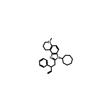 C=CC(Cc1nc2c3c(ccc2n1C1CCCCCC1)N(C)CCC3)c1ccccc1